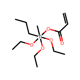 C=CC(=O)[O][Ti]([CH3])([CH2]CC)([O]CC)([O]CC)[O]CC